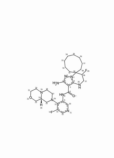 Nc1nn2c(c1C(=O)Nc1cncc(F)c1N1CCN3CCOC[C@H]3C1)NCC(F)C21CCCCCCCC1